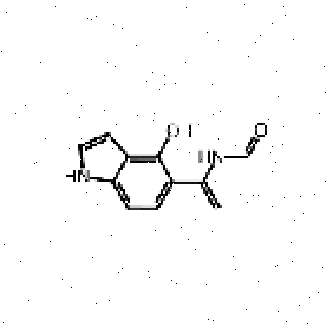 C=C(NC=O)c1ccc2[nH]ccc2c1O